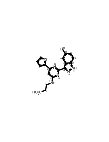 O=C(O)CCNc1cc(-c2ccco2)nc(-c2n[nH]c3ccc(Cl)cc23)n1